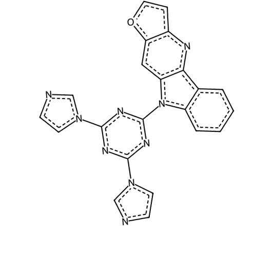 c1ccc2c(c1)c1nc3ccoc3cc1n2-c1nc(-n2ccnc2)nc(-n2ccnc2)n1